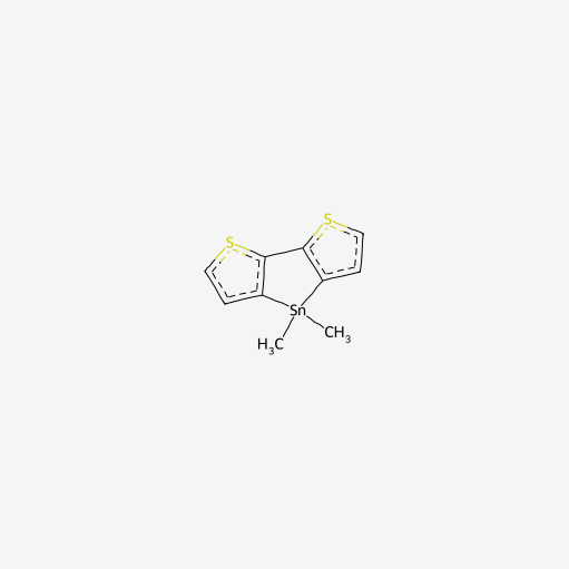 [CH3][Sn]1([CH3])[c]2ccsc2-c2scc[c]21